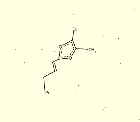 [CH2]Cc1nc(/C=C/CC(C)C)oc1C